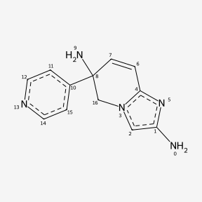 Nc1cn2c(n1)C=CC(N)(c1ccncc1)C2